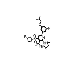 CC(C)COc1cc(F)cc(-c2cc(S(=O)(=O)N3CC[C@H](F)C3)c(C(N)=O)c(N3C[C@@H](C)CC3(C)C)n2)c1